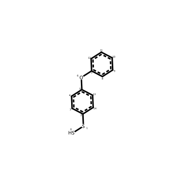 SSc1ccc(Oc2ccccc2)cc1